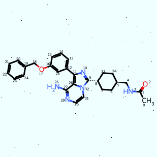 CC(=O)NC[C@H]1CC[C@H](c2nc(-c3cccc(OCc4ccccc4)c3)c3c(N)nccn32)CC1